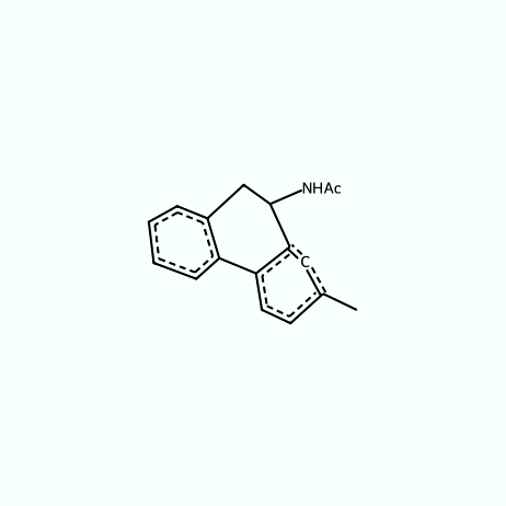 CC(=O)NC1Cc2ccccc2-c2ccc(C)cc21